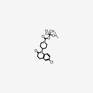 CC(C)(C)OC(=O)N1CCC(N2C(=O)CCc3cc(Cl)ccc32)CC1